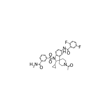 CC(=O)N1CCC2(CC1)c1cc(NC(=O)c3cc(F)ccc3F)ccc1N(S(=O)(=O)c1cccc(C(N)=O)c1)C2C1CC1